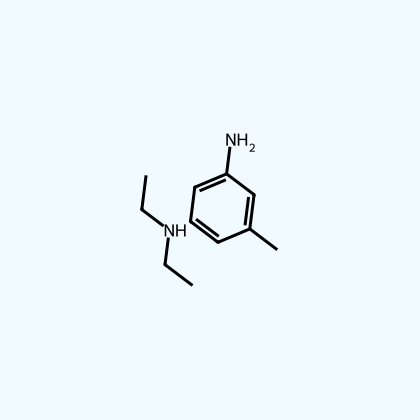 CCNCC.Cc1cccc(N)c1